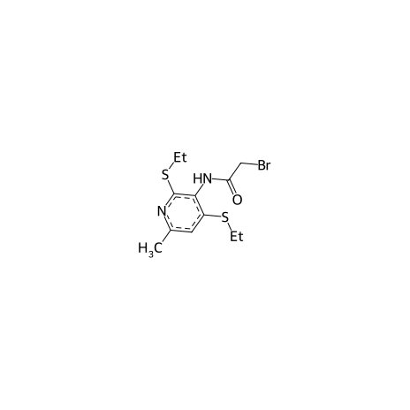 CCSc1cc(C)nc(SCC)c1NC(=O)CBr